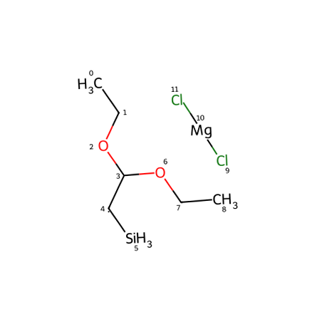 CCOC([CH][SiH3])OCC.[Cl][Mg][Cl]